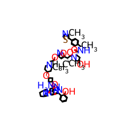 Cc1ncsc1-c1ccc([C@H](C)NC(=O)[C@@H]2C[C@@H](O)CN2C(=O)[C@@H](c2cc(OCCN3CC[C@H](O[C@H]4C[C@H](Oc5cc(N6C7CCC6CN(c6cc(-c8ccccc8O)nnc6N)C7)ccn5)C4)C[C@@H]3C)no2)C(C)C)cc1